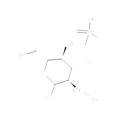 N[C@H]1C(O)O[C@H](CO)[C@@H](O)[C@@H]1O.O=P([O-])([O-])O.[Na+].[Na+]